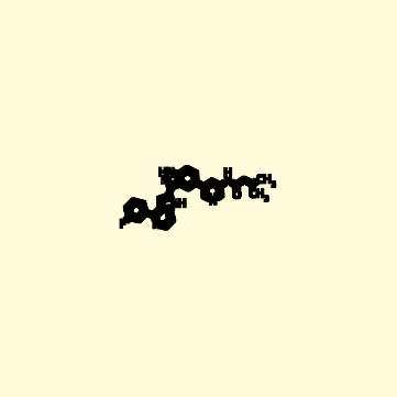 CC(C)CC(=O)Nc1cncc(-c2ccc3[nH]nc(-c4cc5c(-c6cccc(F)c6)nccc5[nH]4)c3c2)c1